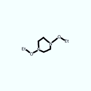 CCON1CCN(OCC)CC1